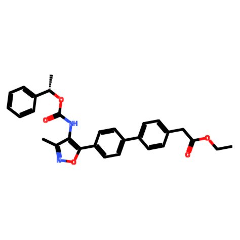 CCOC(=O)Cc1ccc(-c2ccc(-c3onc(C)c3NC(=O)O[C@@H](C)c3ccccc3)cc2)cc1